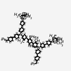 CCCCCCC1=CC(C2=CCC(N(C3=CCC(C4=CC=C(CC(C)C)CC4)C=C3)C3C=CC(C4C=CC(B5OC(C)(C)C(C)(C)O5)=CC4)CC3)C=C2C)C(CCCCCC)C=C1C1CCC(N(C2=CCC(C3C=CC(B4OC(C)(C)C(C)(C)O4)CC3)C=C2)C2=CC=C(C3=CCC(CC(C)C)CC3)CC2)C=C1C